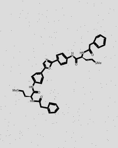 CSCC[C@H](NC(=O)Cc1ccccc1)C(=O)Nc1ccc(-c2cnc(-c3ccc(NC(=O)[C@H](CCSC)NC(=O)Cc4ccccc4)cc3)o2)cc1